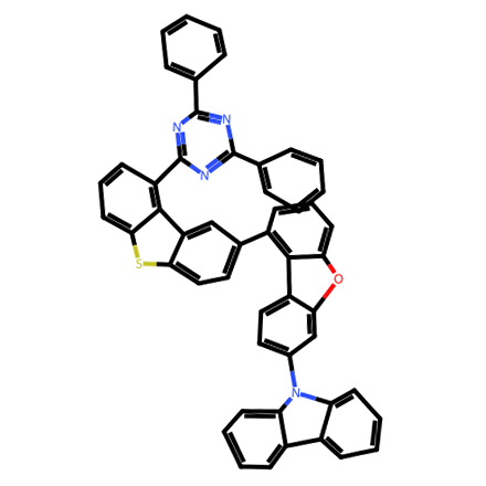 c1ccc(-c2nc(-c3ccccc3)nc(-c3cccc4sc5ccc(-c6cccc7oc8cc(-n9c%10ccccc%10c%10ccccc%109)ccc8c67)cc5c34)n2)cc1